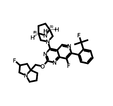 CC(C)(F)c1ccccc1-c1ncc2c(N3C[C@H]4CC[C@@H](C3)N4)nc(OCC34CCCN3CC(F)C4)nc2c1F